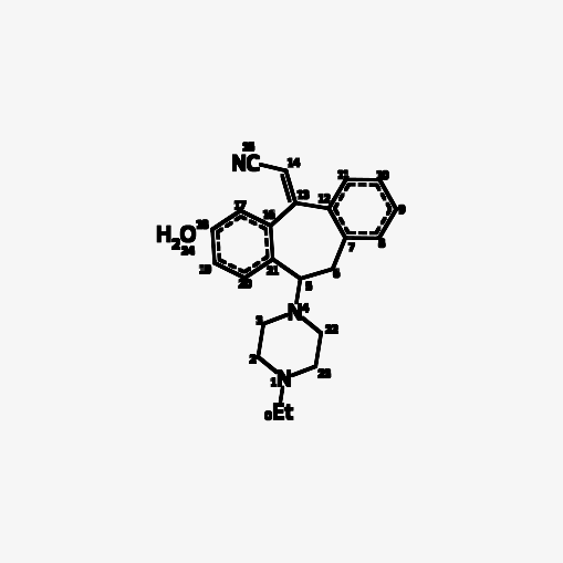 CCN1CCN(C2Cc3ccccc3/C(=C/C#N)c3ccccc32)CC1.O